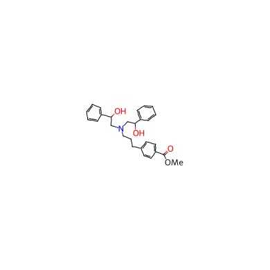 COC(=O)c1ccc(CCCN(CC(O)c2ccccc2)CC(O)c2ccccc2)cc1